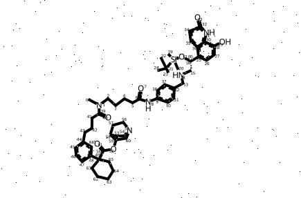 CN(CCCCC(=O)Nc1ccc(CNC[C@H](O[Si](C)(C)C(C)(C)C)c2ccc(O)c3[nH]c(=O)ccc23)cc1)C(=O)CCCc1cccc(C2(C(=O)OC3CN4CCC3CC4)CCCCC2)c1